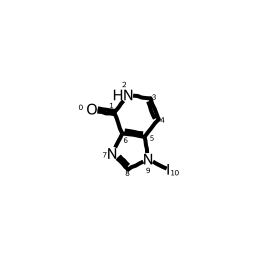 O=c1[nH]ccc2c1ncn2I